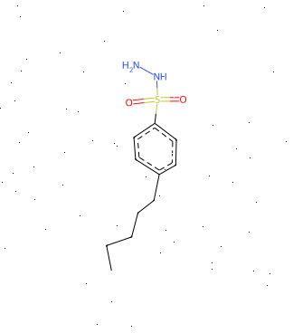 CCCCCc1ccc(S(=O)(=O)NN)cc1